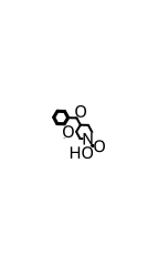 COc1ccccc1C(=O)C1CCN(C(=O)O)CC1